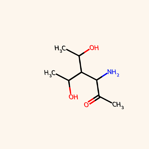 CC(=O)C(N)C(C(C)O)C(C)O